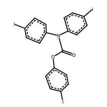 O=C(Oc1ccc(I)cc1)N(c1ccc(I)cc1)c1ccc(I)cc1